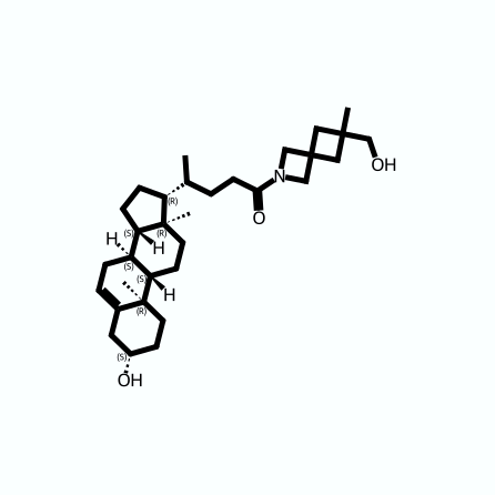 CC(CCC(=O)N1CC2(C1)CC(C)(CO)C2)[C@H]1CC[C@H]2[C@@H]3CC=C4C[C@@H](O)CC[C@]4(C)[C@H]3CC[C@]12C